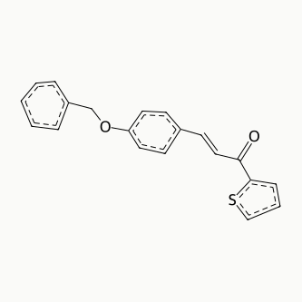 O=C(/C=C/c1ccc(OCc2ccccc2)cc1)c1cccs1